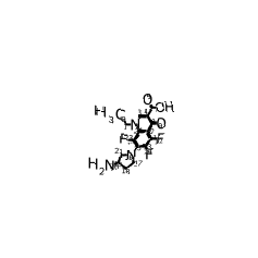 CCn1cc(C(=O)O)c(=O)c2c(F)c(F)c(N3CCC(N)C3)c(F)c21